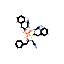 N#CC[C@H](Cc1ccccc1)OP(=O)(O[C@H](CC#N)Cc1ccccc1)S[C@H](CC#N)Cc1ccccc1